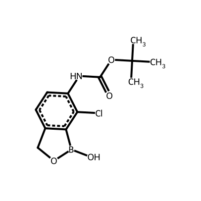 CC(C)(C)OC(=O)Nc1ccc2c(c1Cl)B(O)OC2